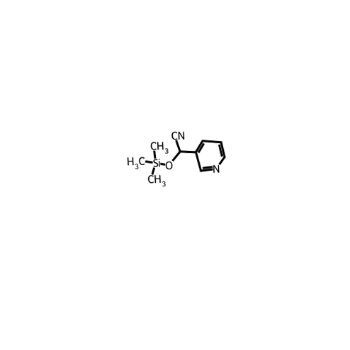 C[Si](C)(C)OC(C#N)c1cccnc1